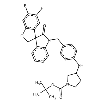 CC(C)(C)OC(=O)N1CCC(Nc2ccc(CN3C(=O)C4(COc5cc(F)c(F)cc54)c4ccccc43)cc2)C1